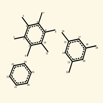 Cc1c(C)c(C)c(C)c(C)c1C.Cc1cc(C)cc(C)c1.c1ccccc1